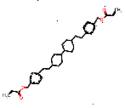 C=CC(=O)OCc1ccc(CCC2CCC(C3CCC(CCc4ccc(COC(=O)C=C)cc4)CC3)CC2)cc1